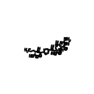 CCCC(NC(=O)c1ccc(NCC2(C(=O)O)CNc3nc(N)[nH]c(=O)c3N2)cc1)C(=O)O